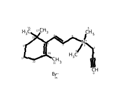 C#CC[N+](C)(C)CC=CC1=C(C)CCCC1(C)C.[Br-]